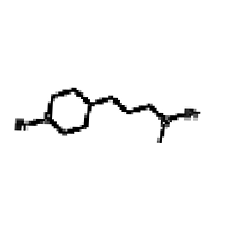 CC(C)N(C)CCCC1CCN(C(C)C)CC1